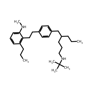 CCCc1cccc(NC)c1CCc1ccc(CC(CCC)CCCNC(C)(C)C)cc1